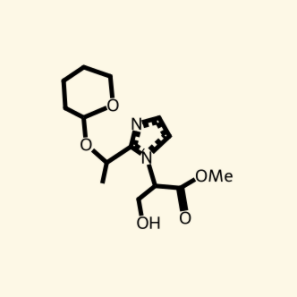 COC(=O)C(CO)n1ccnc1C(C)OC1CCCCO1